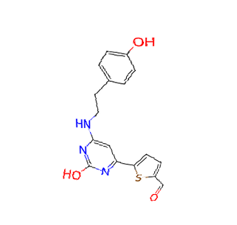 O=Cc1ccc(-c2cc(NCCc3ccc(O)cc3)nc(O)n2)s1